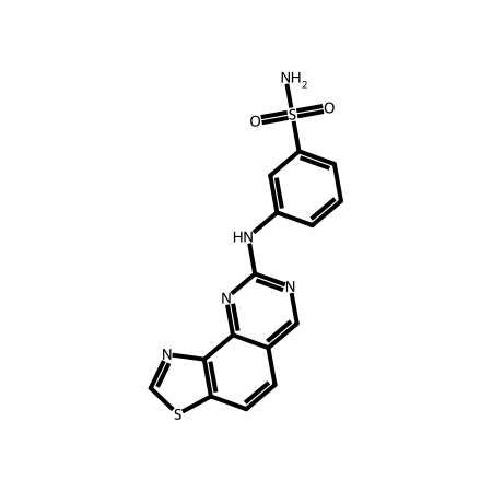 NS(=O)(=O)c1cccc(Nc2ncc3ccc4scnc4c3n2)c1